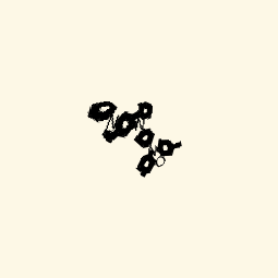 Cc1ccc2c(c1)Oc1cc(C)ccc1N2c1ccc(-n2c3ccccc3c3cc4c(ccn4-c4ccccc4)cc32)cc1